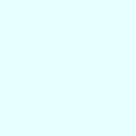 C=CCc1cccc2ccccc12.C=O